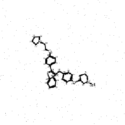 CCN1CCCC(Oc2ccc(Cc3c(-c4ccc(OCCN5CCCC5)cc4)sc4ccccc34)cc2)C1